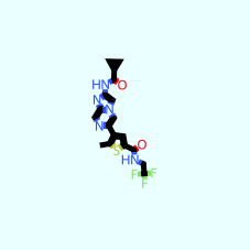 Cc1sc(C(=O)NCC(F)(F)F)cc1-c1cn2cc(NC(=O)C3CC3)nc2cn1